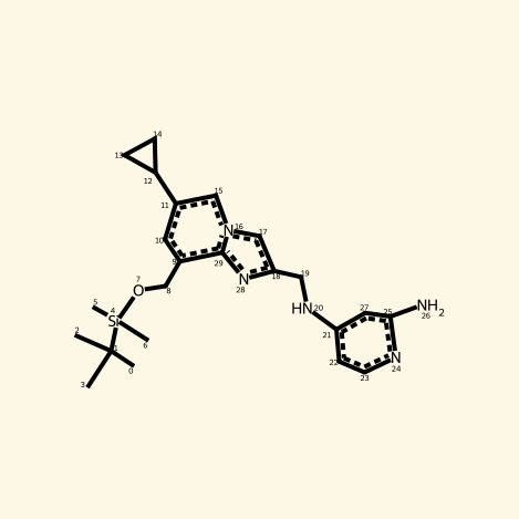 CC(C)(C)[Si](C)(C)OCc1cc(C2CC2)cn2cc(CNc3ccnc(N)c3)nc12